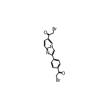 O=C(CBr)c1ccc(-c2cn3cc(C(=O)CBr)ccc3n2)cc1